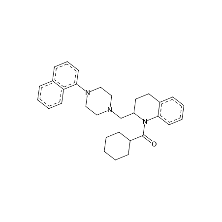 O=C(C1CCCCC1)N1c2ccccc2CCC1CN1CCN(c2cccc3ccccc23)CC1